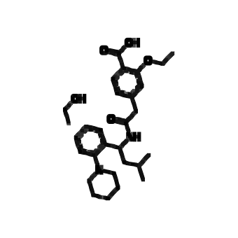 CCO.CCOc1cc(CC(=O)NC(CC(C)C)c2ccccc2N2CCCCC2)ccc1C(=O)O